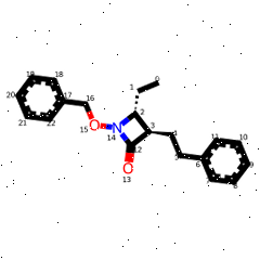 CC[C@@H]1[C@@H](CCc2ccccc2)C(=O)N1OCc1ccccc1